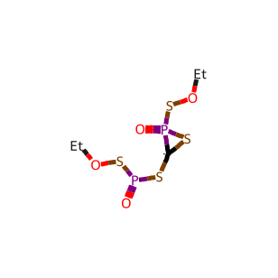 CCOS[P](=O)S[C]1SP1(=O)SOCC